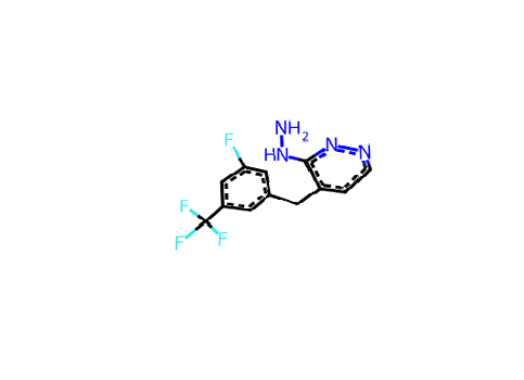 NNc1nnccc1Cc1cc(F)cc(C(F)(F)F)c1